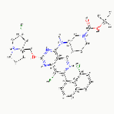 CN(c1nc(OC[C@@]23CCCN2C[C@H](F)C3)nc2c(F)c(-c3cccc4cccc(Cl)c34)ncc12)[C@@H]1CCCN(C(=O)OC(C)(C)C)C1